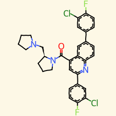 O=C(c1cc(-c2ccc(F)c(Cl)c2)nc2ccc(-c3ccc(F)c(Cl)c3)cc12)N1CCC[C@H]1CN1CCCC1